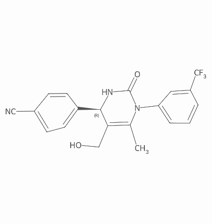 CC1=C(CO)[C@@H](c2ccc(C#N)cc2)NC(=O)N1c1cccc(C(F)(F)F)c1